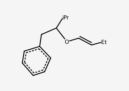 CCC=COC(Cc1ccccc1)C(C)C